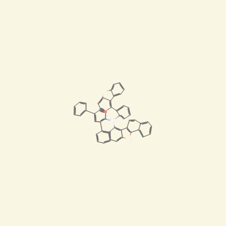 c1ccc(-c2ccc(N(c3ccccc3-c3cccc4sc5ccccc5c34)c3cccc4oc5c6ccccc6ccc5c34)c(-c3ccccc3)c2)cc1